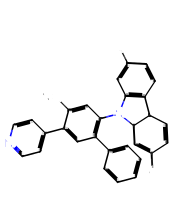 N#Cc1cc(N2c3cc(C(F)(F)F)ccc3C3C=CC(C(F)(F)F)=CC32)c(-c2ccccc2)cc1-c1ccncc1